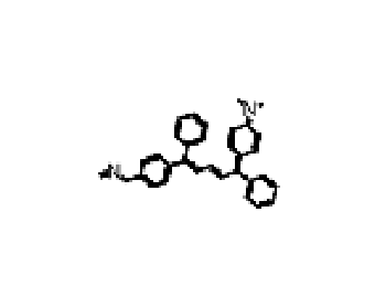 C=NCc1ccc(C(=CC=CC(=C2C=CC(=[N+](C)C)C=C2)c2ccccc2)c2ccccc2)cc1